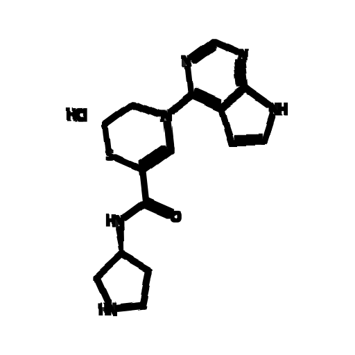 Cl.O=C(N[C@H]1CCNC1)C1=CN(c2ncnc3[nH]ccc23)CCS1